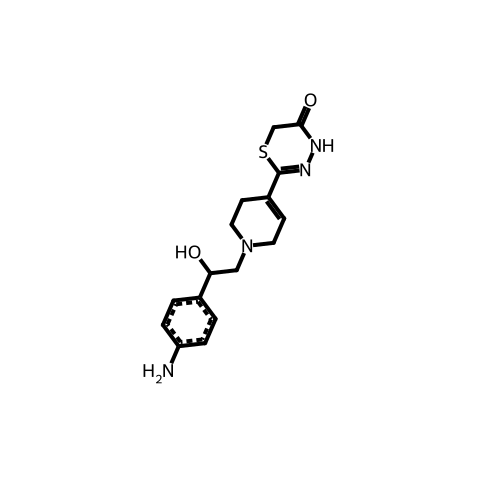 Nc1ccc(C(O)CN2CC=C(C3=NNC(=O)CS3)CC2)cc1